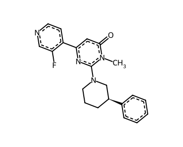 Cn1c(N2CCC[C@H](c3ccccc3)C2)nc(-c2ccncc2F)cc1=O